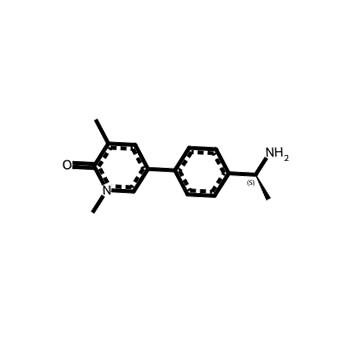 Cc1cc(-c2ccc([C@H](C)N)cc2)cn(C)c1=O